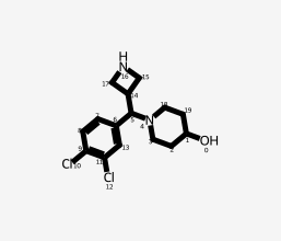 OC1CCN(C(c2ccc(Cl)c(Cl)c2)C2CNC2)CC1